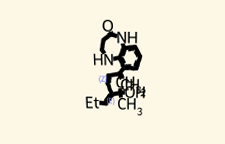 C=C(/C=C\C(=C/CC)C(C)(C)O)c1cccc2c1NCCC(=O)N2